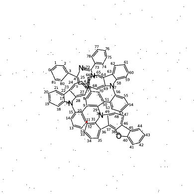 c1ccc(-c2cc(-c3cc(-c4ccccc4-n4c5ccccc5c5ccccc54)c(-n4c5ccccc5c5c6oc7ccccc7c6ccc54)c(-c4ccccc4-n4c5ccccc5c5ccccc54)c3)nc(-c3ccccc3)n2)cc1